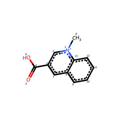 C[n+]1cc(C(=O)O)cc2ccccc21